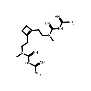 CN(CCC1=C(CCN(C)C(=N)NC(=N)N)CC1)C(=N)NC(=N)N